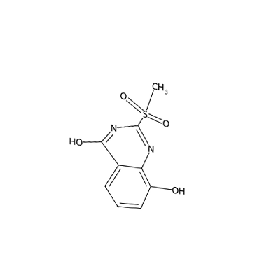 CS(=O)(=O)c1nc(O)c2cccc(O)c2n1